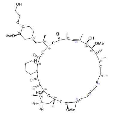 [2H]C1([2H])C[C@H]2C[C@H](OC)/C(C)=C/C=C/C=C/[C@@H](C)C[C@@H](C)C(=C)[C@H](OC)[C@H](O)/C(C)=C/[C@@H](C)C(=O)C[C@@H]([C@H](C)C[C@@H]3CC[C@@H](OCCO)[C@H](OC)C3)OC(=O)[C@@H]3CCCCN3C(=O)C(=O)[C@](O)(O2)[C@@H]1C